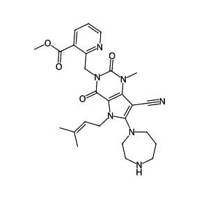 COC(=O)c1cccnc1Cn1c(=O)c2c(c(C#N)c(N3CCCNCC3)n2CC=C(C)C)n(C)c1=O